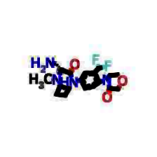 CN(C1CCC1)[C@H](CN)C(=O)Nc1ccc(N2CCOCC2=O)c(C(F)F)c1